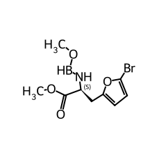 COBN[C@@H](Cc1ccc(Br)o1)C(=O)OC